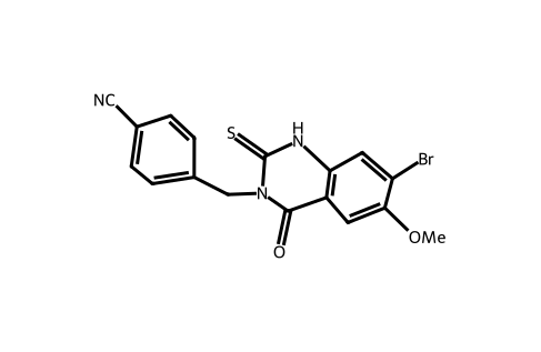 COc1cc2c(=O)n(Cc3ccc(C#N)cc3)c(=S)[nH]c2cc1Br